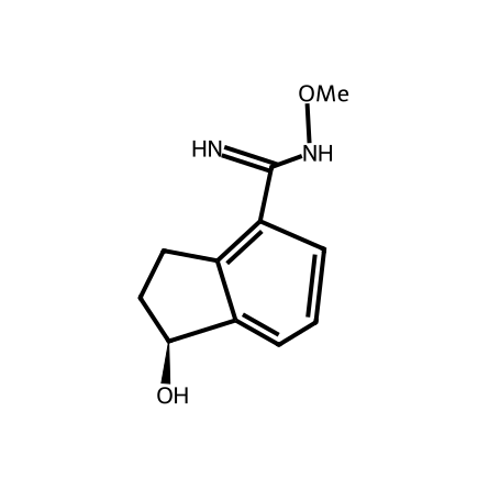 CONC(=N)c1cccc2c1CC[C@@H]2O